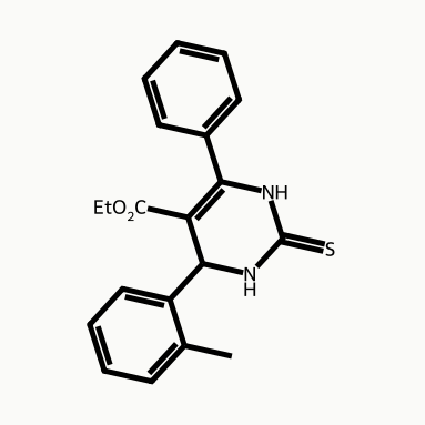 CCOC(=O)C1=C(c2ccccc2)NC(=S)NC1c1ccccc1C